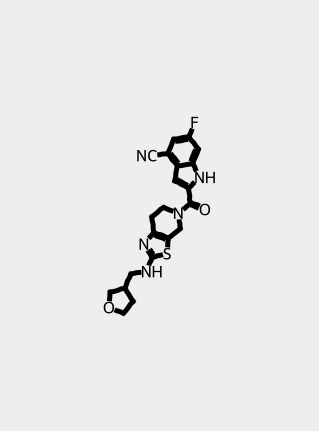 N#Cc1cc(F)cc2[nH]c(C(=O)N3CCc4nc(NCC5CCOC5)sc4C3)cc12